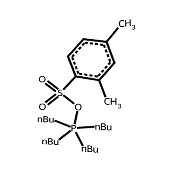 CCCCP(CCCC)(CCCC)(CCCC)OS(=O)(=O)c1ccc(C)cc1C